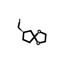 IC[C@H]1CCC2(C1)OCCO2